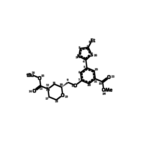 CCc1cnc(-c2cc(OC[C@H]3CN(C(=O)OC(C)(C)C)CCO3)cc(C(=O)OC)c2)s1